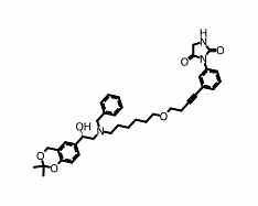 CC1(C)OCc2cc([C@H](O)CN(CCCCCCOCCC#Cc3cccc(N4C(=O)CNC4=O)c3)Cc3ccccc3)ccc2O1